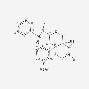 CC(=O)Oc1cccc(C23CCN(C)CC2(O)CCC(N(C)C(=O)c2ccccc2)C3)c1